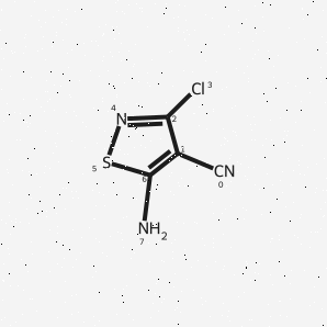 N#Cc1c(Cl)nsc1N